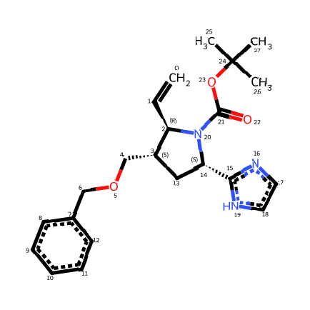 C=C[C@@H]1[C@@H](COCc2ccccc2)C[C@@H](c2ncc[nH]2)N1C(=O)OC(C)(C)C